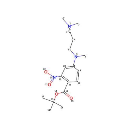 CN(C)CCCN(C)c1ccc(C(=O)OC(C)(C)C)c([N+](=O)[O-])c1